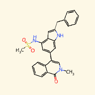 Cn1cc(-c2cc(NS(C)(=O)=O)c3cc(Cc4ccccc4)[nH]c3c2)c2ccccc2c1=O